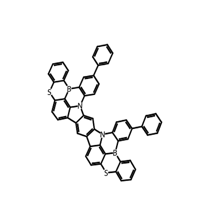 c1ccc(-c2ccc3c(c2)B2c4ccccc4Sc4ccc5c6cc7c8ccc9c%10c8n(c7cc6n-3c5c42)-c2ccc(-c3ccccc3)cc2B%10c2ccccc2S9)cc1